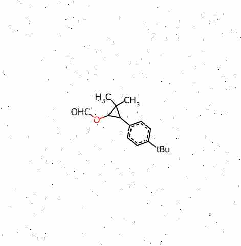 CC(C)(C)c1ccc(C2C(OC=O)C2(C)C)cc1